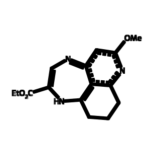 CCOC(=O)C1=CN=c2cc(OC)nc3c2=C(CCC3)N1